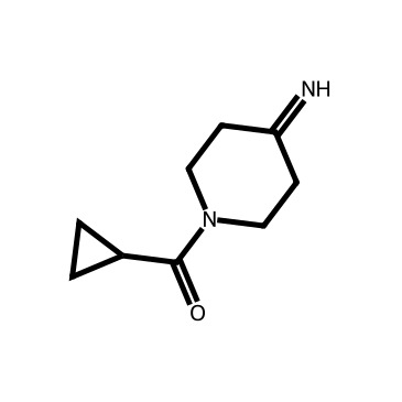 N=C1CCN(C(=O)C2CC2)CC1